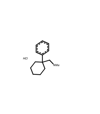 CNCC1(c2ccccc2)CCCCC1.Cl